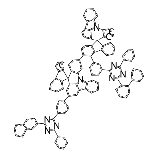 c1ccc(-c2nc(-c3ccc(-c4cc5c6c(c4)c4ccccc4n6-c4cc(-c6ccc7c(c6-c6cccc(-c8nc(-c9ccccc9)nc(-c9ccccc9-c9ccccc9)n8)c6)-c6ccccc6C76c7ccccc7-n7c8ccccc8c8cccc6c87)ccc4C54c5ccccc5-c5ccccc54)cc3)nc(-c3ccc4ccccc4c3)n2)cc1